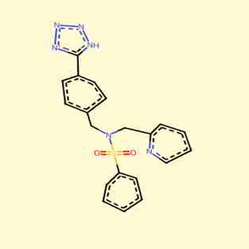 O=S(=O)(c1ccccc1)N(Cc1ccc(-c2nnn[nH]2)cc1)Cc1ccccn1